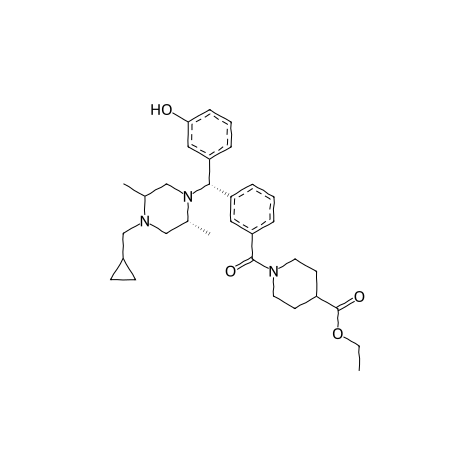 CCOC(=O)C1CCN(C(=O)c2cccc([C@@H](c3cccc(O)c3)N3CC(C)N(CC4CC4)C[C@H]3C)c2)CC1